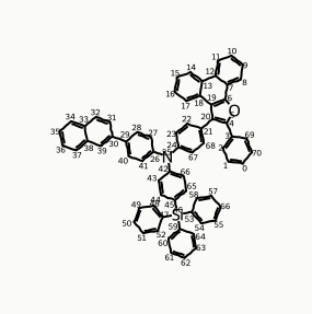 c1ccc(-c2oc3c4ccccc4c4ccccc4c3c2-c2ccc(N(c3ccc(-c4ccc5ccccc5c4)cc3)c3ccc([Si](c4ccccc4)(c4ccccc4)c4ccccc4)cc3)cc2)cc1